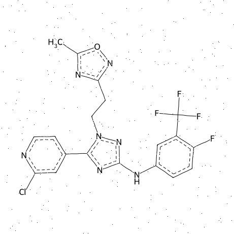 Cc1nc(CCn2nc(Nc3ccc(F)c(C(F)(F)F)c3)nc2-c2ccnc(Cl)c2)no1